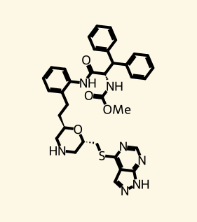 COC(=O)N[C@H](C(=O)Nc1ccccc1CC[C@@H]1CNC[C@@H](CSc2ncnc3[nH]ncc23)O1)C(c1ccccc1)c1ccccc1